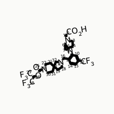 O=C(O)CN1CC2CC1CN2c1cc(C(F)(F)F)ccc1CN1CCC2(CCN(C(=O)OC(C(F)(F)F)C(F)(F)F)CC2)C1